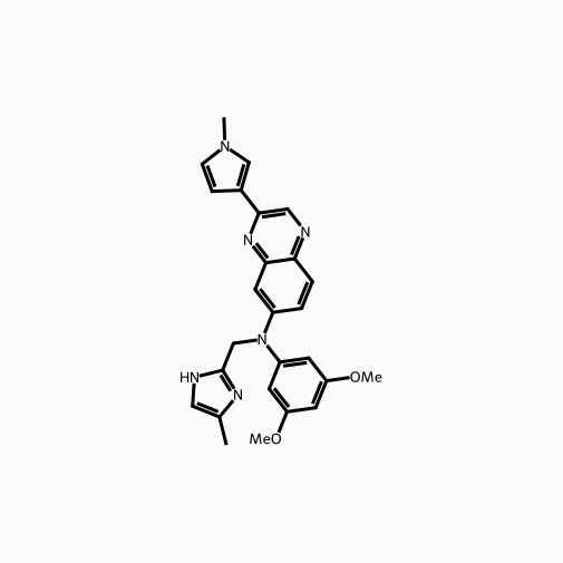 COc1cc(OC)cc(N(Cc2nc(C)c[nH]2)c2ccc3ncc(-c4ccn(C)c4)nc3c2)c1